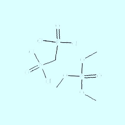 COP(=O)(OC)OC.O=P(Cl)(Cl)CP(=O)(Cl)Cl